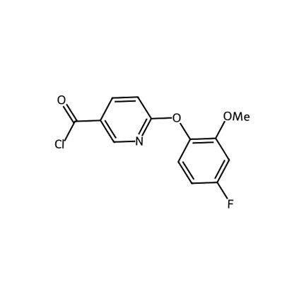 COc1cc(F)ccc1Oc1ccc(C(=O)Cl)cn1